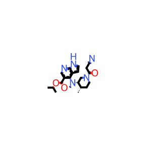 CC(C)OC(=O)c1cnc2[nH]ccc2c1N(C)[C@@H]1CN(C(=O)CC#N)CC[C@@H]1C